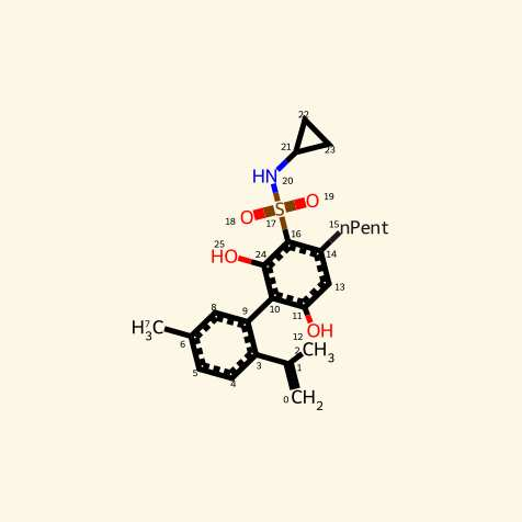 C=C(C)c1ccc(C)cc1-c1c(O)cc(CCCCC)c(S(=O)(=O)NC2CC2)c1O